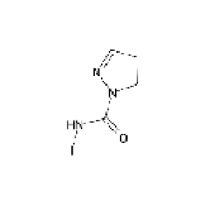 O=C(NI)N1CCC=N1